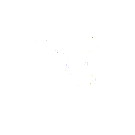 CCOC(=O)C1CCN(c2ccc(NC(=O)c3ccc(-c4ccc(Cl)cc4)c(C(O[Si](C)(C)C(C)(C)C)C4CCN(c5ccc(C(=O)OC(C)(C)C)cc5)CC4)c3)cc2)CC1